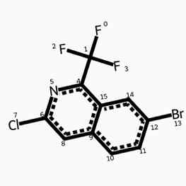 FC(F)(F)c1nc(Cl)cc2ccc(Br)cc12